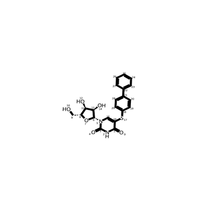 O=c1[nH]c(=O)n([C@@H]2O[C@H](CO)[C@@H](O)[C@H]2O)cc1Sc1ccc(-c2ccccc2)cc1